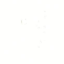 CC(C)[C@H](NC(=O)[C@H](Cc1ccccc1)NC(=O)C=Cc1ccc(Cl)c(Cl)c1)C(=O)C(F)(F)C(=O)NCC(C)(C)C